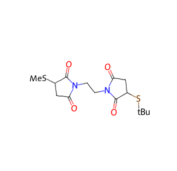 CSC1CC(=O)N(CCN2C(=O)CC(SC(C)(C)C)C2=O)C1=O